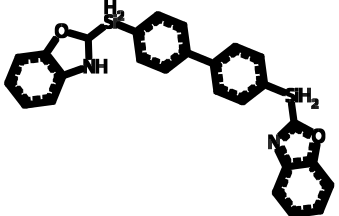 c1ccc2c(c1)NC([SiH2]c1ccc(-c3ccc([SiH2]c4nc5ccccc5o4)cc3)cc1)O2